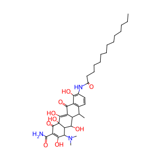 CCCCCCCCCCCCCC(=O)Nc1ccc2c(c1O)C(=O)C1=C(O)C3(O)C(=O)C(C(N)=O)=C(O)C(N(C)C)C3C(O)C1C2C